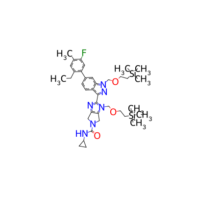 CCc1cc(C)c(F)cc1-c1ccc2c(-c3nc4c(n3COCC[Si](C)(C)C)CN(C(=O)NC3CC3)C4)nn(COCC[Si](C)(C)C)c2c1